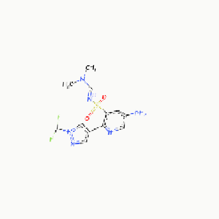 CN(C)/C=N/S(=O)(=O)c1cc(N)cnc1-c1cnn(C(F)F)c1